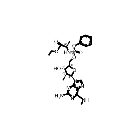 CCOC(=O)[C@@H](C)N[P@@](=O)(OC[C@H]1O[C@@H](n2cnc3c(NC)nc(N)nc32)[C@@H](C)[C@@H]1O)Oc1ccccc1